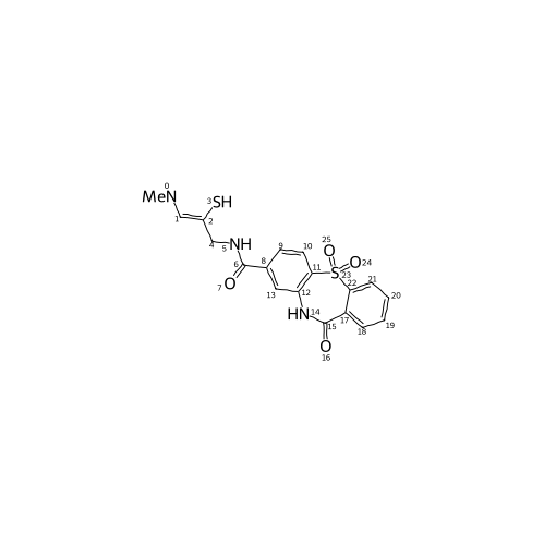 CN/C=C(\S)CNC(=O)c1ccc2c(c1)NC(=O)c1ccccc1S2(=O)=O